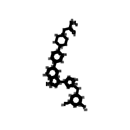 NC(=O)CN1CCN(c2ccc(-c3cnc4[nH]cc(-c5cnn(Cc6cc(F)cc(F)c6)c5)c4c3)cn2)CC1